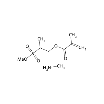 C=C(C)C(=O)OCC(C)S(=O)(=O)OC.CN